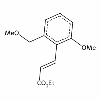 CCOC(=O)C=Cc1c(COC)cccc1OC